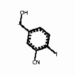 N#Cc1cc([CH]O)ccc1I